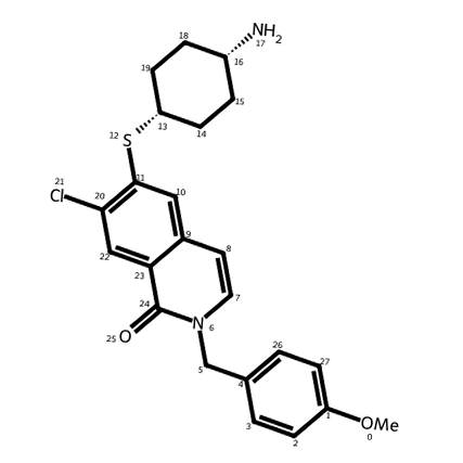 COc1ccc(Cn2ccc3cc(S[C@H]4CC[C@@H](N)CC4)c(Cl)cc3c2=O)cc1